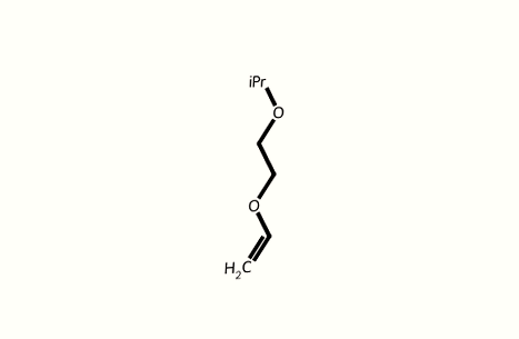 C=COCCOC(C)C